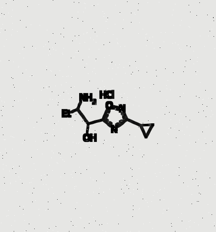 CCC(N)C(O)c1nc(C2CC2)no1.Cl